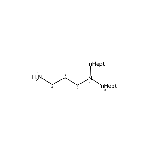 CCCCCCCN(CCCN)CCCCCCC